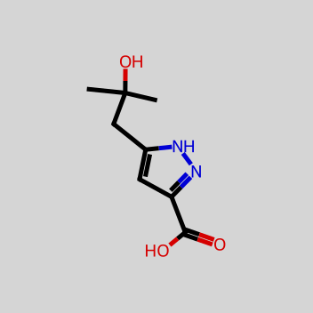 CC(C)(O)Cc1cc(C(=O)O)n[nH]1